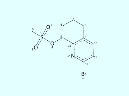 CS(=O)(=O)OC1CCCc2ccc(Br)nc21